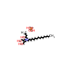 CCCCCCCCCCCCCCCC[N+](CCCO)(CCCO)C[C@@H](O)CCC.O=S(=O)(O)O